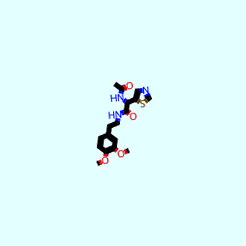 COc1ccc(CCNC(=O)C(NC(C)=O)c2cncs2)cc1OC